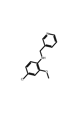 COc1cc(Cl)ccc1NCc1cccnc1